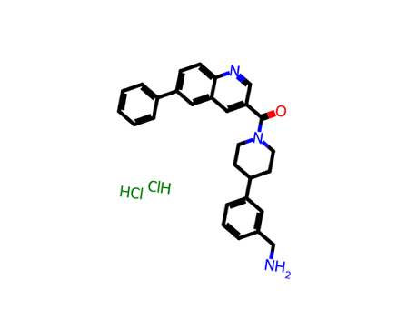 Cl.Cl.NCc1cccc(C2CCN(C(=O)c3cnc4ccc(-c5ccccc5)cc4c3)CC2)c1